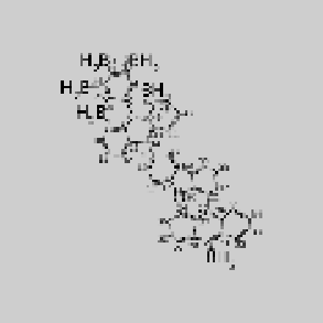 Bc1c(B)c(B)c(-c2c3ccccc3c(-c3ccc4oc5c(-c6c7ccccc7c(B)c7ccccc67)cccc5c4c3)c3ccccc23)c(B)c1B